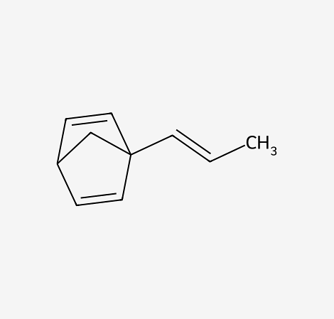 CC=CC12C=CC(C=C1)C2